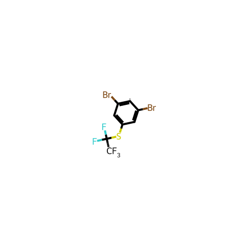 FC(F)(F)C(F)(F)Sc1cc(Br)[c]c(Br)c1